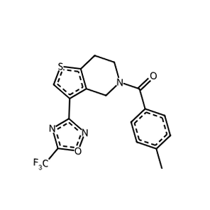 Cc1ccc(C(=O)N2CCc3scc(-c4noc(C(F)(F)F)n4)c3C2)cc1